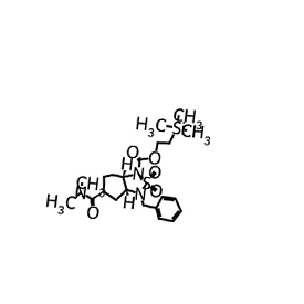 CN(C)C(=O)[C@H]1CC[C@H]2[C@@H](C1)N(Cc1ccccc1)S(=O)(=O)N2C(=O)OCC[Si](C)(C)C